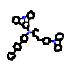 C=C/C(=C\C=C\c1ccc(-n2c3ccccc3c3ccccc32)cc1)N(C1=CC2c3ccccc3N3c4ccccc4C(=C1)C23)c1ccc(-c2ccc(-c3ccccc3)cc2)cc1